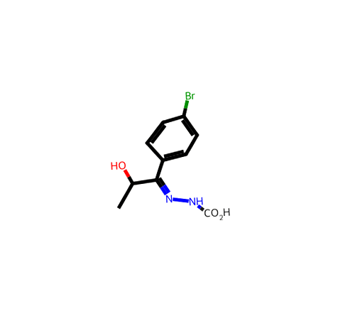 CC(O)/C(=N/NC(=O)O)c1ccc(Br)cc1